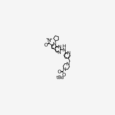 CN(C)C(=O)c1cc2cnc(Nc3ccc(CN4CCN(C(=O)OC(C)(C)C)CC4)cn3)nc2n1C1CCCC1